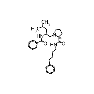 CC(C)CC(CN1CCC[C@H]1C(=O)NCCCCc1ccccc1)NC(=O)c1ccccc1